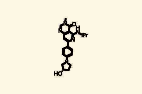 CC(C)Nc1nc(-c2ccc(N3CC[C@H](O)C3)cc2)cc2ncn(C)c(=O)c12